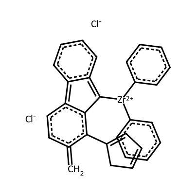 C=c1ccc2c(c1C1=CC=CC1)[C]([Zr+2]([c]1ccccc1)[c]1ccccc1)=c1ccccc1=2.[Cl-].[Cl-]